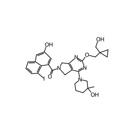 CC1(O)CCCN(c2nc(OCC3(CO)CC3)nc3c2CN(C(=O)c2cc(O)cc4cccc(I)c24)C3)C1